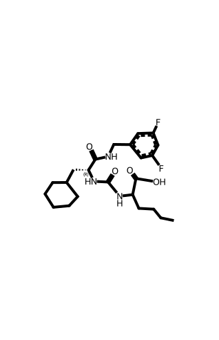 CCCCC(NC(=O)N[C@H](CC1CCCCC1)C(=O)NCc1cc(F)cc(F)c1)C(=O)O